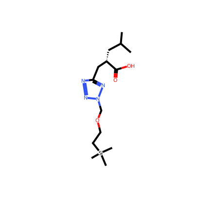 CC(C)C[C@@H](Cc1nnn(COCC[Si](C)(C)C)n1)C(=O)O